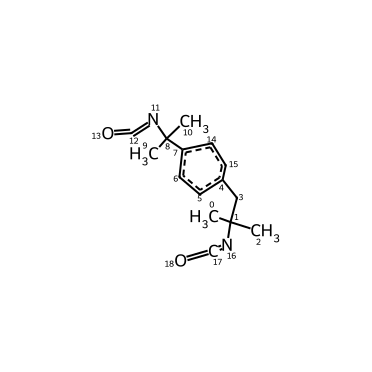 CC(C)(Cc1ccc(C(C)(C)N=C=O)cc1)N=C=O